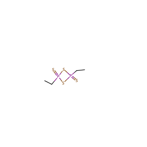 CCP1(=S)SP(=S)(CC)S1